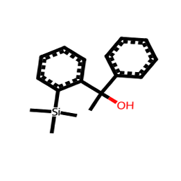 CC(O)(c1ccccc1)c1ccccc1[Si](C)(C)C